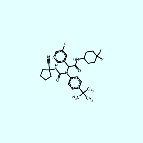 CC(C)(C)c1ccc(N(C(=O)NC2(C#N)CCCC2)C(C(=O)NC2CCC(F)(F)CC2)c2cncc(F)c2)cc1